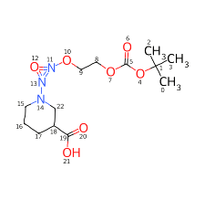 CC(C)(C)OC(=O)OCCOn1on1N1CCCC(C(=O)O)C1